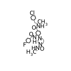 CCNC(=O)N1CCCN(c2ccc(C(=O)NC(C)Cc3ccc(Cl)cc3)cc2NC(=O)c2ccc(F)cc2)CC1